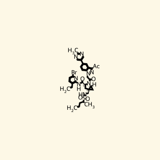 C=CCC(C)S(=O)(=O)NC[C@@]12C[C@@H](C(=O)Nc3nc(Br)ccc3C=C)N(C(=O)Cn3nc(C(C)=O)c4cc(-c5cnc(C)nc5)ccc43)[C@@H]1C2